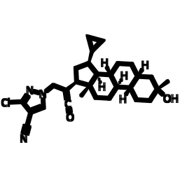 C[C@@]1(O)CC[C@H]2[C@H](CC[C@@H]3[C@@H]2CC[C@@]2(C)[C@H]3[C@H](C3CC3)C[C@@H]2C(=C=O)Cn2cc(C#N)c(Cl)n2)C1